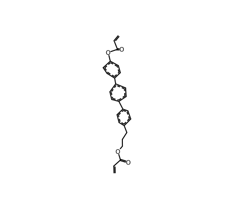 C=CC(=O)OCCCc1ccc(-c2ccc(-c3ccc(OC(=O)C=C)cc3)cc2)cc1